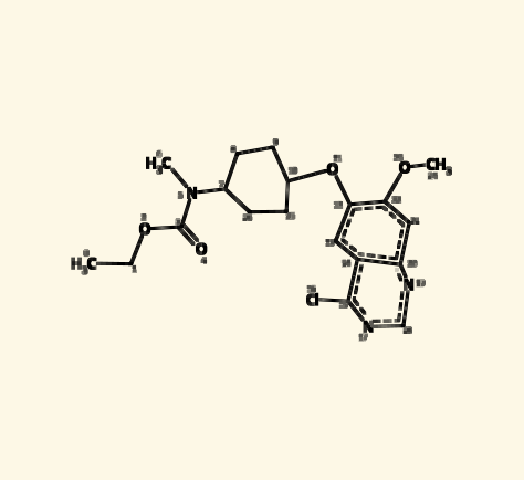 CCOC(=O)N(C)C1CCC(Oc2cc3c(Cl)ncnc3cc2OC)CC1